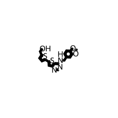 OCc1ccc(-c2cc3ncnc(NCc4ccc5c(c4)OCO5)c3s2)s1